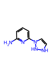 Nc1cccc(N2C=CNN2)n1